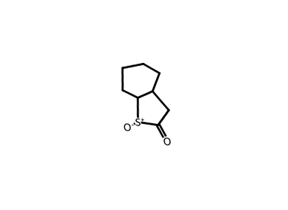 O=C1CC2CCCCC2[S+]1[O-]